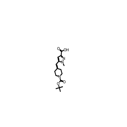 Cn1nc(C(=O)O)cc1C=C1CCN(C(=O)OC(C)(C)C)CC1